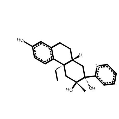 CC[C@@]12C[C@@](C)(O)[C@](O)(c3ccccn3)C[C@H]1CCc1cc(O)ccc12